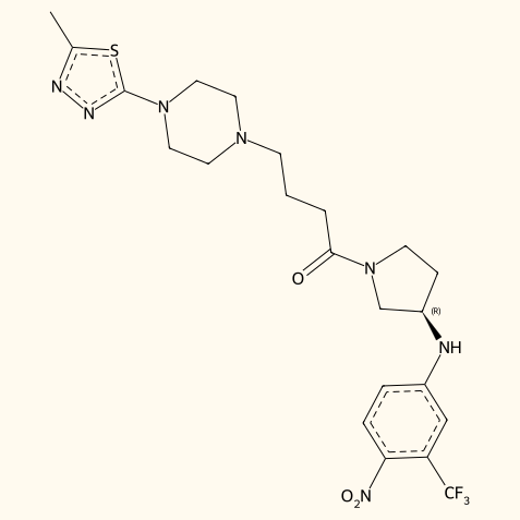 Cc1nnc(N2CCN(CCCC(=O)N3CC[C@@H](Nc4ccc([N+](=O)[O-])c(C(F)(F)F)c4)C3)CC2)s1